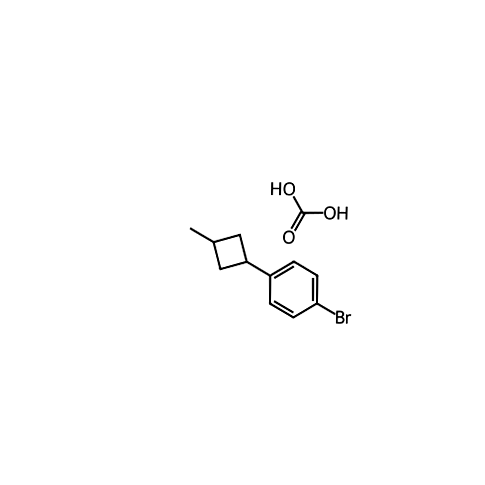 CC1CC(c2ccc(Br)cc2)C1.O=C(O)O